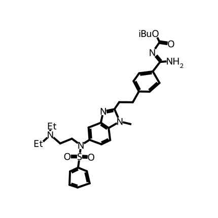 CCN(CC)CCN(c1ccc2c(c1)nc(CCc1ccc(C(N)=NC(=O)OCC(C)C)cc1)n2C)S(=O)(=O)c1ccccc1